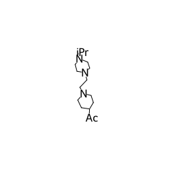 CC(=O)C1CCN(CCN2CCN(C(C)C)CC2)CC1